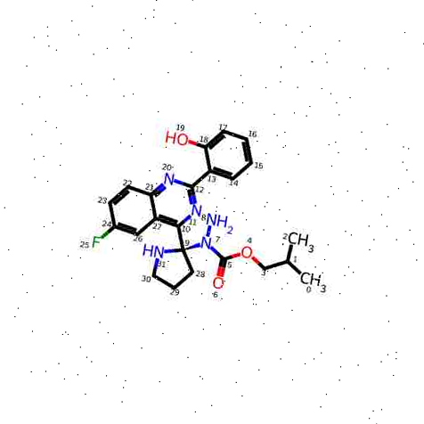 CC(C)COC(=O)N(N)[C@@]1(c2nc(-c3ccccc3O)nc3ccc(F)cc23)CCCN1